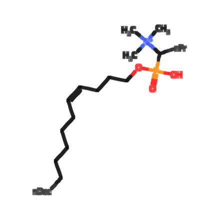 CCCCCCCCCCCCCCC/C=C\CCCOP(=O)(O)C(CCC)[N+](C)(C)C